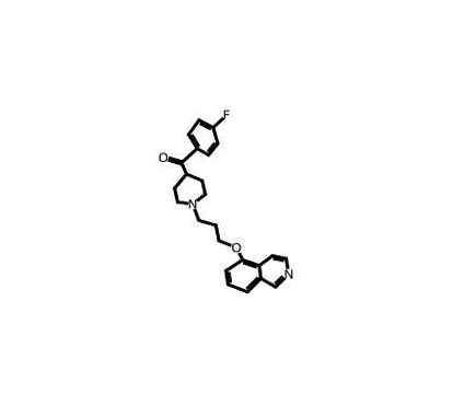 O=C(c1ccc(F)cc1)C1CCN(CCCOc2cccc3cnccc23)CC1